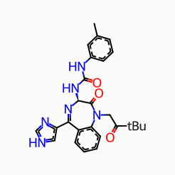 Cc1cccc(NC(=O)N[C@@H]2N=C(c3c[nH]cn3)c3ccccc3N(CC(=O)C(C)(C)C)C2=O)c1